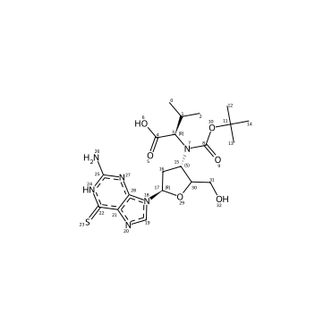 CC(C)[C@H](C(=O)O)N(C(=O)OC(C)(C)C)[C@H]1C[C@H](n2cnc3c(=S)[nH]c(N)nc32)OC1CO